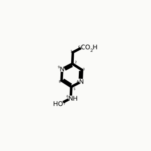 O=C(O)Cc1cnc(NO)cn1